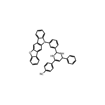 N#Cc1ccc(C2=CC(c3ccccc3)NC(c3cccc(-n4c5ccccc5c5cc6oc7ccccc7c6cc54)c3)N2)cc1